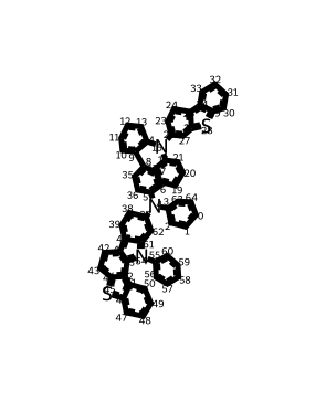 c1ccc(N(c2ccc(-c3ccccc3N(c3ccccc3)c3ccc4c(c3)sc3ccccc34)cc2)c2ccc3c4ccc5sc6ccccc6c5c4n(-c4ccccc4)c3c2)cc1